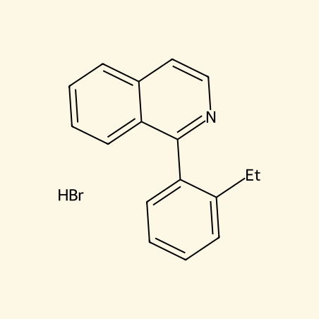 Br.CCc1ccccc1-c1nccc2ccccc12